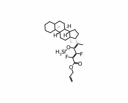 C=CCOC(=O)C(F)=C(F)C(O[SiH3])=C(C)[C@H]1CC[C@H]2[C@@H]3CCC4CCCC[C@]4(C)[C@H]3CC[C@]12C